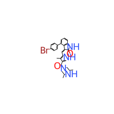 Cc1c(C(=O)N2CC(C)NC(C)C2)c[nH]c1/C=C1\C(=O)Nc2cccc(-c3ccc(Br)cc3)c21